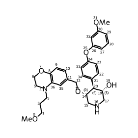 COCCCN1CCOc2ccc(CO[C@H]3CNC[C@@H](O)[C@@H]3c3ccc(Oc4cccc(OC)c4)cc3)cc21